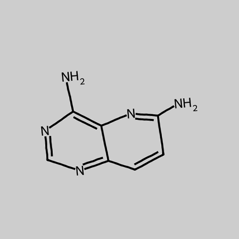 Nc1ccc2ncnc(N)c2n1